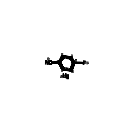 Oc1ccc(F)cc1.[Hg]